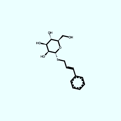 OC[C@H]1O[C@H](SC/C=C/c2ccccc2)[C@@H](O)[C@@H](O)[C@@H]1O